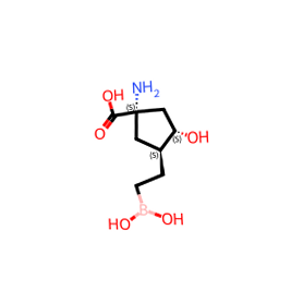 N[C@@]1(C(=O)O)C[C@H](CCB(O)O)[C@@H](O)C1